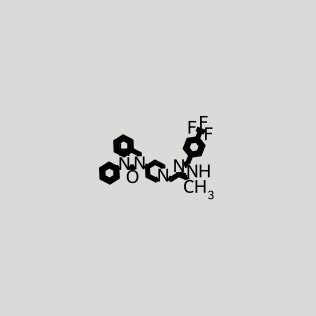 Cc1[nH]c(-c2ccc(C(F)(F)F)cc2)nc1CN1CCC(N(Cc2ccccc2)C(=O)Nc2ccccc2)CC1